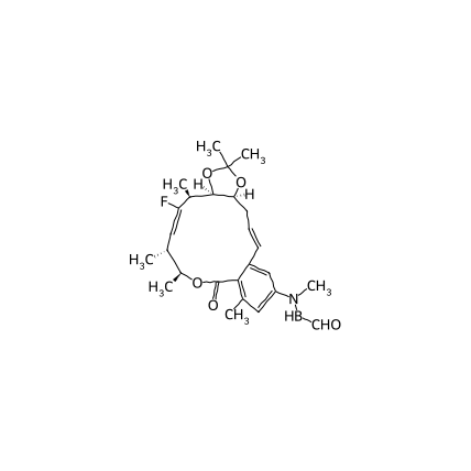 Cc1cc(N(C)BC=O)cc2c1C(=O)O[C@@H](C)[C@H](C)/C=C(/F)[C@@H](C)[C@H]1OC(C)(C)O[C@H]1C/C=C/2